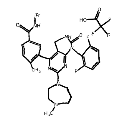 Cc1ccc(C(=O)NC(C)C)cc1-c1nc(N2CCCN(C)CC2)nc2c1CNC(=O)N2c1c(F)cccc1F.O=C(O)C(F)(F)F